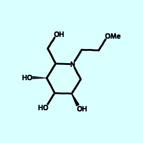 COCCN1C[C@@H](O)C(O)[C@H](O)C1CO